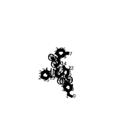 CCc1ccc(S(=O)(=O)N(C[C@@H](C)CC)C[C@@H](O)[C@H](Cc2ccccc2)NC(=O)[C@@H]2CN(c3cccc(C)c3)C(=O)O2)cc1